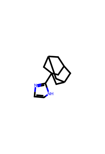 c1c[nH]c(C23CC4CC(CC(C4)C2)C3)n1